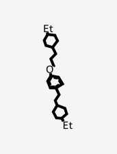 CCC1CCC(CCCOc2ccc(CCC3CCC(CC)CC3)cc2)CC1